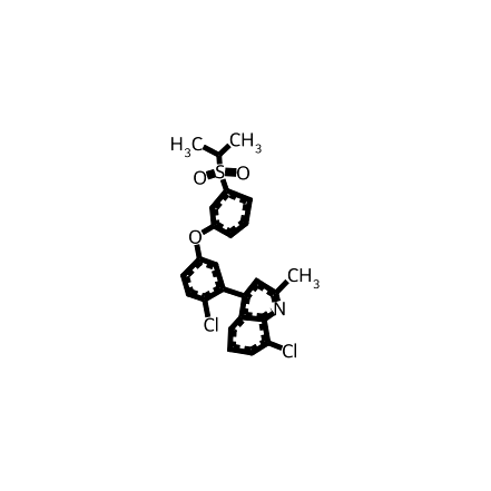 Cc1cc(-c2cc(Oc3cccc(S(=O)(=O)C(C)C)c3)ccc2Cl)c2cccc(Cl)c2n1